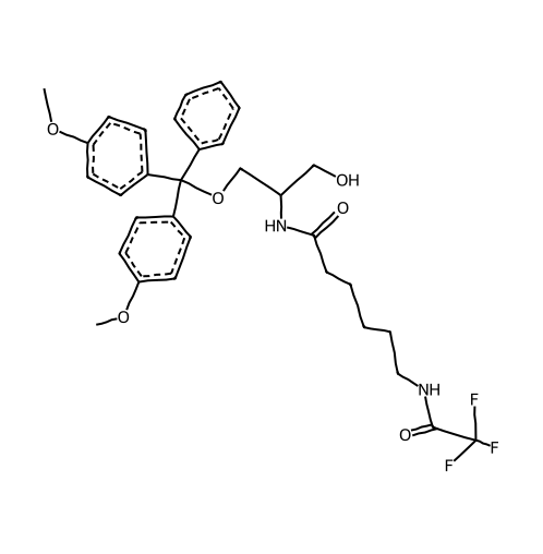 COc1ccc(C(OCC(CO)NC(=O)CCCCCNC(=O)C(F)(F)F)(c2ccccc2)c2ccc(OC)cc2)cc1